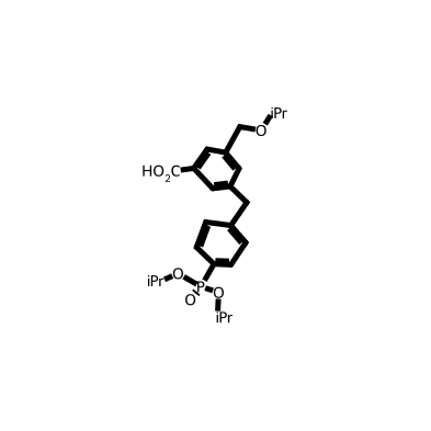 CC(C)OCc1cc(Cc2ccc(P(=O)(OC(C)C)OC(C)C)cc2)cc(C(=O)O)c1